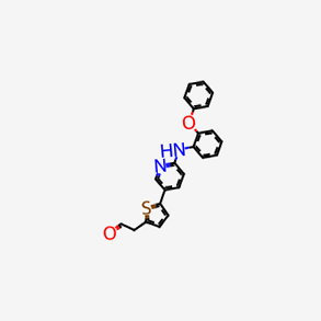 O=CCc1ccc(-c2ccc(Nc3ccccc3Oc3ccccc3)nc2)s1